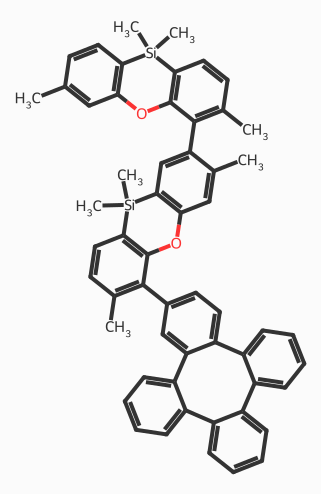 Cc1ccc2c(c1)Oc1c(ccc(C)c1-c1cc3c(cc1C)Oc1c(ccc(C)c1-c1ccc4c(c1)-c1ccccc1-c1ccccc1-c1ccccc1-4)[Si]3(C)C)[Si]2(C)C